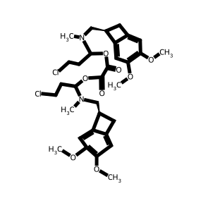 COc1cc2c(cc1OC)[C@@H](CN(C)C(CCCl)OC(=O)C(=O)OC(CCCl)N(C)C[C@H]1Cc3cc(OC)c(OC)cc31)C2